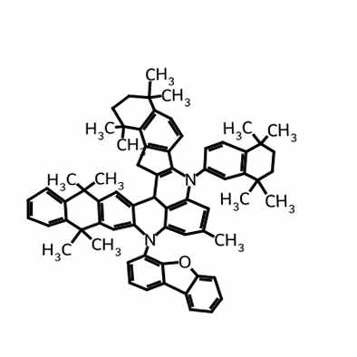 Cc1cc2c3c(c1)N(c1cccc4c1oc1ccccc14)c1cc4c(cc1C3C1=C(c3ccc5c(c3C1)C(C)(C)CCC5(C)C)N2c1ccc2c(c1)C(C)(C)CCC2(C)C)C(C)(C)c1ccccc1C4(C)C